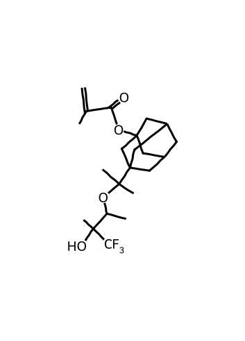 C=C(C)C(=O)OC12CC3CC(C1)CC(C(C)(C)OC(C)C(C)(O)C(F)(F)F)(C3)C2